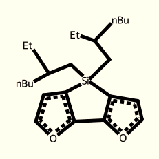 CCCCC(CC)C[Si]1(CC(CC)CCCC)c2ccoc2-c2occc21